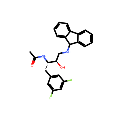 CC(=O)N[C@@H](Cc1cc(F)cc(F)c1)[C@H](O)CNC1c2ccccc2-c2ccccc21